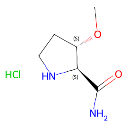 CO[C@H]1CCN[C@@H]1C(N)=O.Cl